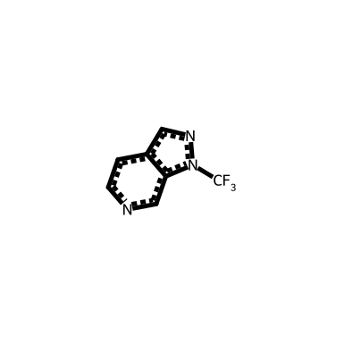 FC(F)(F)n1ncc2ccncc21